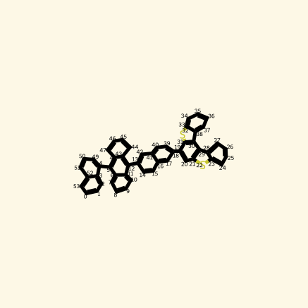 c1ccc2c(-c3c4ccccc4c(-c4ccc5cc(-c6cc7sc8ccccc8c7c7c6sc6ccccc67)ccc5c4)c4ccccc34)cccc2c1